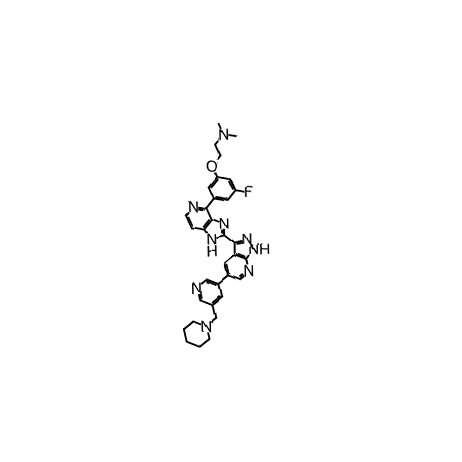 CN(C)CCOc1cc(F)cc(-c2nccc3[nH]c(-c4n[nH]c5ncc(-c6cncc(CN7CCCCC7)c6)cc45)nc23)c1